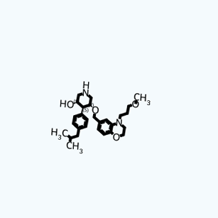 COCCCN1CCOc2ccc(CO[C@H]3CNC[C@@H](O)[C@@H]3c3ccc(CC(C)C)cc3)cc21